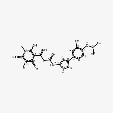 Cn1c(S)c(C(=N)CC(=O)Nc2nc(-c3ccc(OC(F)F)c(F)c3)cs2)c(=O)n(C)c1=O